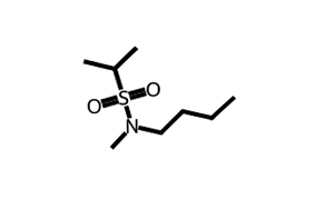 CCCCN(C)S(=O)(=O)C(C)C